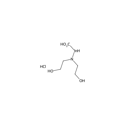 Cl.O=[C](O)[InH][N](CCO)CCO